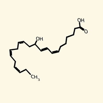 CC/C=C\C/C=C\C/C=C\CC(O)/C=C/C=C\CCCCCC(=O)O